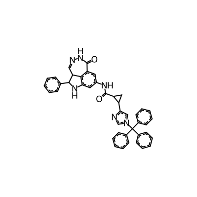 O=C1NN=CC2c3c(cc(NC(=O)C4CC4c4cn(C(c5ccccc5)(c5ccccc5)c5ccccc5)cn4)cc31)NC2c1ccccc1